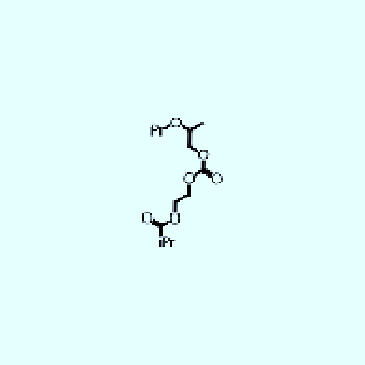 CC(C)OC(C)COC(=O)OCCOC(=O)C(C)C